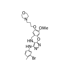 COc1cc2c(cc1OCCCN1CCOCC1)CNc1c(Nc3ccc(C)c(Br)c3)ncnc1O2